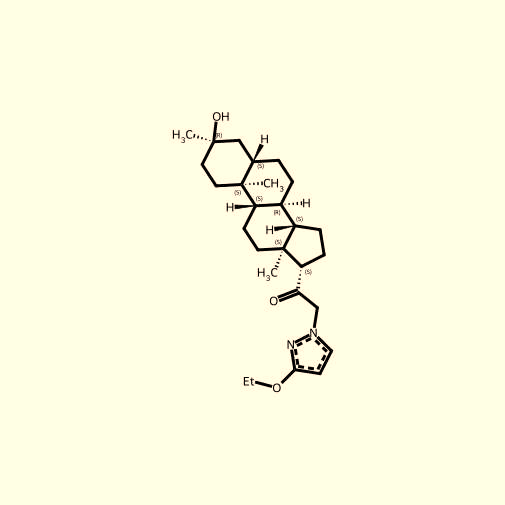 CCOc1ccn(CC(=O)[C@H]2CC[C@H]3[C@@H]4CC[C@H]5C[C@](C)(O)CC[C@]5(C)[C@H]4CC[C@]23C)n1